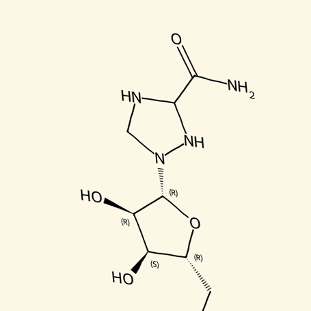 NC(=O)C1NCN([C@@H]2O[C@H](CO)[C@@H](O)[C@H]2O)N1